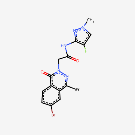 CC(C)c1nn(CC(=O)Nc2nn(C)cc2F)c(=O)c2ccc(Br)cc12